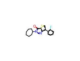 O=c1c2scc(-c3ccccc3F)c2ncn1C1CCCCCC1